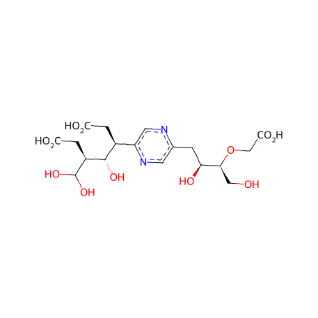 O=C(O)CO[C@@H](CO)[C@@H](O)Cc1cnc([C@H](CC(=O)O)[C@H](O)[C@H](CC(=O)O)C(O)O)cn1